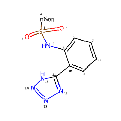 CCCCCCCCCS(=O)(=O)Nc1ccccc1-c1nnn[nH]1